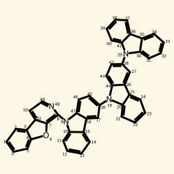 c1ccc2c(c1)oc1c(-n3c4ccccc4c4cc(-n5c6ccccc6c6cc(-n7c8ccccc8c8ccccc87)ccc65)ccc43)nccc12